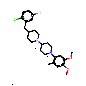 COc1cc(C)c(N2CCC(N3CCC(Cc4cc(Cl)ccc4Cl)CC3)CC2)cc1OC